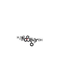 NS(=O)(=O)c1ccc(Cc2c(C3CCCC3)nn(-c3nc(CO)cs3)c2-c2ccccc2)cc1